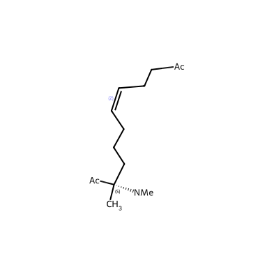 CN[C@@](C)(CCC/C=C\CCC(C)=O)C(C)=O